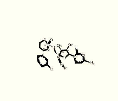 [N-]=[N+]=N[C@]1(CO[P@@]2(=O)OCC[C@@H](c3cccc(Cl)c3)O2)OC(n2ccc(N)nc2=O)[C@H](O)[C@@H]1O